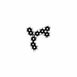 c1ccc(-c2ccc(-c3ccc(N(c4ccc(-c5ccc6ccccc6c5)cc4)c4ccc5ccccc5c4)cc3)cc2-c2ccccc2)cc1